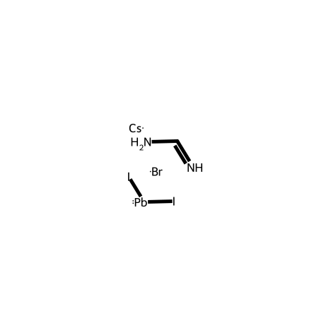 N=CN.[Br].[Cs].[I][Pb][I]